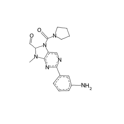 CN1c2nc(-c3cccc(N)c3)ncc2N(C(=O)N2CCCC2)C1C=O